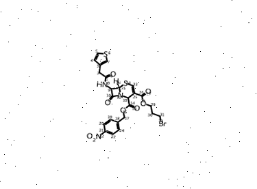 O=C(Cc1ccsc1)NC1C(=O)N2C(C(=O)OCc3ccc([N+](=O)[O-])cc3)C(C(=O)OCCCBr)=CS[C@@H]12